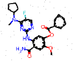 COc1cc(C(N)=O)c(Nc2ncc(F)c(N(C)C3CCCC3)n2)cc1OC(=O)c1ccccc1